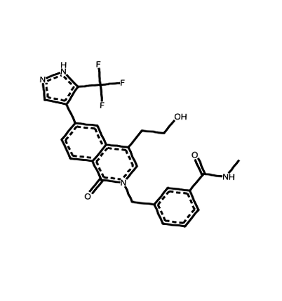 CNC(=O)c1cccc(Cn2cc(CCO)c3cc(-c4cn[nH]c4C(F)(F)F)ccc3c2=O)c1